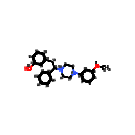 COc1cccc(N2CCN(C(Cc3cccc(O)c3)c3ccccc3)CC2)c1